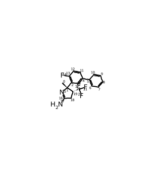 C[C@]1(c2cc(-c3ccccc3)ccc2F)N=C(N)C[C@H]1C(F)(F)F